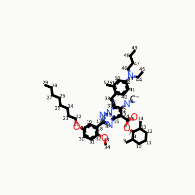 [C-]#[N+]c1c(C(=O)OC2C(C)CCCC2C)c2nc(-c3cc(OCCCCCCCC)ccc3OC)nn2/c1=C/c1ccc(N(CC)CCCC)cc1C